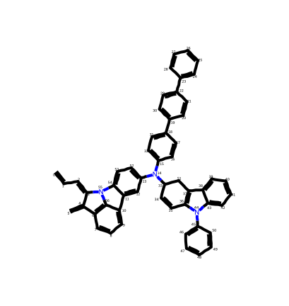 C=C/C=c1\c(=C)c2cccc3c4cc(N(c5ccc(-c6ccc(-c7ccccc7)cc6)cc5)C5C=Cc6c(c7ccccc7n6-c6ccccc6)C5)ccc4n1c23